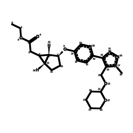 CCOC(=O)CC1[C@H]2[C@H](Oc3ccc(-c4nnn(C)c4COC4CCCCO4)nc3)CC[C@@H]12